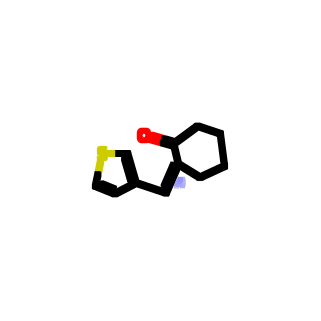 O=C1CCCC/C1=C/c1ccsc1